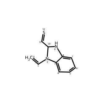 C=CN1c2ccccc2NC1C=S